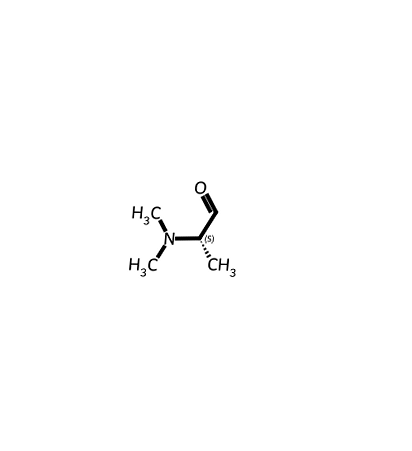 C[C@@H](C=O)N(C)C